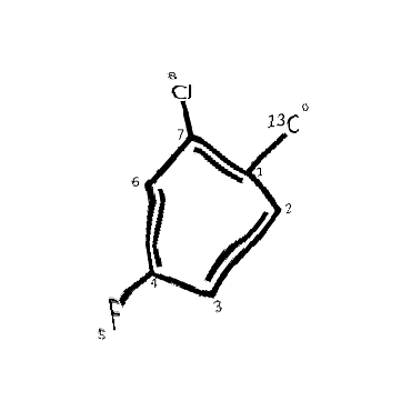 [13CH3]c1ccc(F)cc1Cl